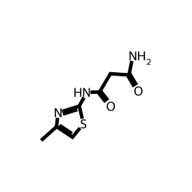 Cc1csc(NC(=O)CC(N)=O)n1